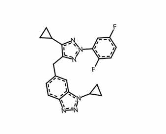 Fc1ccc(F)c(-n2nc(Cc3ccc4nnn(C5CC5)c4c3)c(C3CC3)n2)c1